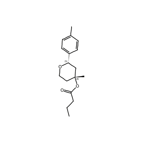 CCCC(=O)O[C@]1(C)CCO[C@H](c2ccc(C)cc2)C1